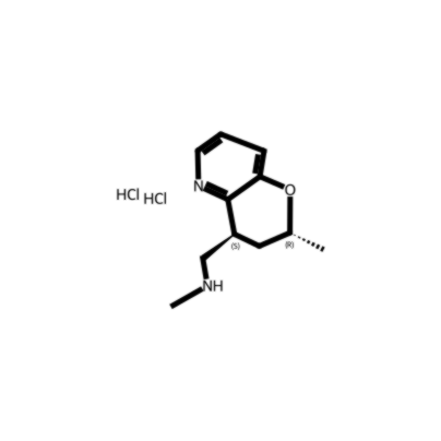 CNC[C@@H]1C[C@@H](C)Oc2cccnc21.Cl.Cl